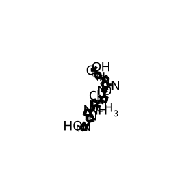 Cc1c(Nc2nccc3cc(CN4CC[C@@H](O)C4)cnc23)cccc1-c1cccc(-c2nc3cc4c(c(C#N)c3o2)CC[C@H]4N2CC[C@@H](C(=O)O)C2)c1Cl